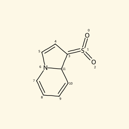 O=S(=O)=C1C=CN2C=CC=CC12